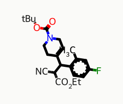 CCOC(=O)C(C#N)C(C1=CCN(C(=O)OC(C)(C)C)CC1)c1ccc(F)cc1C